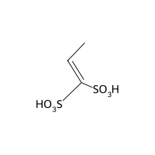 CC=C(S(=O)(=O)O)S(=O)(=O)O